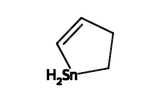 C1=[CH][SnH2][CH2]C1